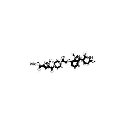 COC(=O)c1cc(C(=O)N2CCN(C(=O)COc3cccc4c(C5CCC(=O)NC5=O)nn(C)c34)CC2)n(C)n1